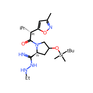 CCNNC(=N)[C@@H]1CC(O[Si](C)(C)C(C)(C)C)CN1C(=O)[C@@H](c1cc(C)no1)C(C)C